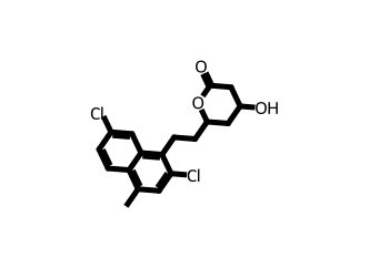 Cc1cc(Cl)c(CCC2CC(O)CC(=O)O2)c2cc(Cl)ccc12